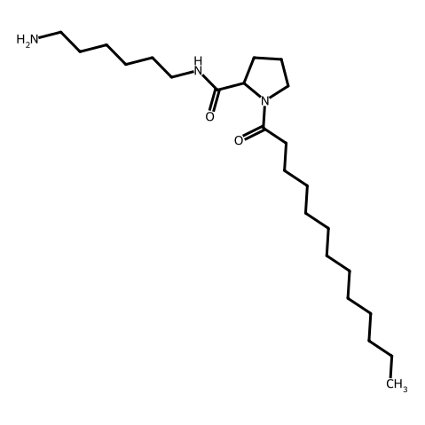 CCCCCCCCCCCCC(=O)N1CCCC1C(=O)NCCCCCCN